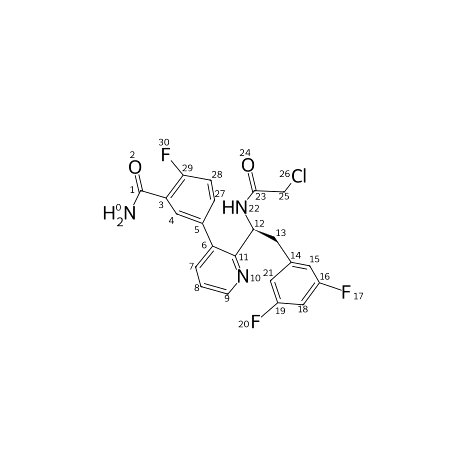 NC(=O)c1cc(-c2cccnc2[C@H](Cc2cc(F)cc(F)c2)NC(=O)CCl)ccc1F